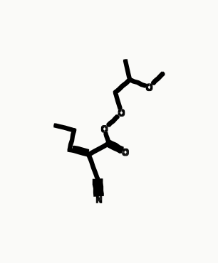 CCC=C(C#N)C(=O)OOCC(C)OC